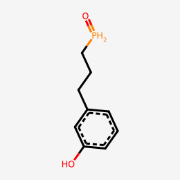 O=[PH2]CCCc1cccc(O)c1